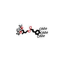 CC[Si](CC(C)CCOC(=O)C=Cc1cc(OC)c(OC)c(OC)c1)(O[Si](C)(C)C)O[Si](C)(C)C